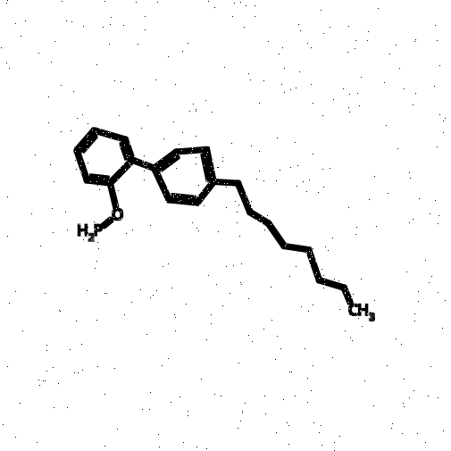 CCCCCCCCc1ccc(-c2ccccc2OP)cc1